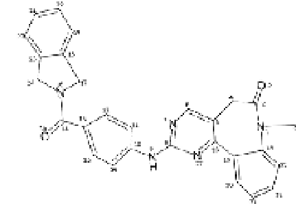 CN1C(=O)Cc2cnc(Nc3ccc(C(=O)N4Cc5ccccc5C4)cc3)nc2-c2ccccc21